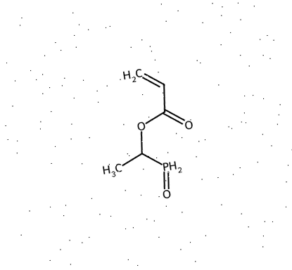 C=CC(=O)OC(C)[PH2]=O